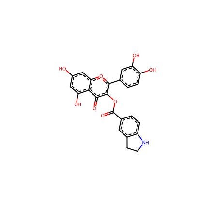 O=C(Oc1c(-c2ccc(O)c(O)c2)oc2cc(O)cc(O)c2c1=O)c1ccc2c(c1)CCN2